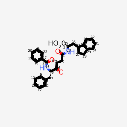 O=C(CCC(=O)[C@H](Cc1ccccc1)NC(=O)c1ccccc1)N[C@@H](CC1=CCc2ccccc21)C(=O)O